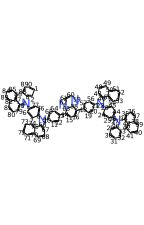 c1ccc(N(c2ccc(N(c3ccc(-c4ccc(-c5ccc(N(c6ccc(N(c7ccccc7)c7cccc8ccccc78)cc6)c6cccc7ccccc67)cc5)c5nccnc45)cc3)c3cccc4ccccc34)cc2)c2cccc3ccccc23)cc1